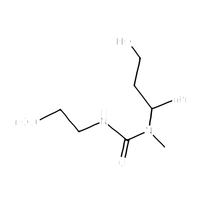 CCCCCCCCCCNC(=O)N(C)C(CCC)CCO